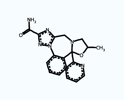 CC1CN2Cc3nc(C(N)=O)nn3-c3ccccc3C2(c2ccccn2)O1